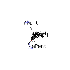 CCCCC/C=C\C/C=C\C/C=C\CCCCC(=O)OC[C@H](COP(=O)(O)OC[C@@H](O)CO)OC(=O)CCCCCCCCCCC/C=C\C/C=C\CCCCC